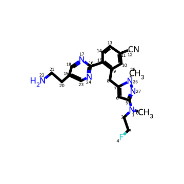 CN(CCF)c1cc(Cc2cc(C#N)ccc2-c2ncc(CCN)cn2)n(C)n1